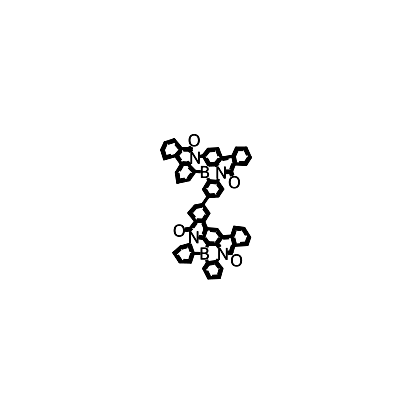 O=c1c2ccccc2c2cccc3c2n1-c1ccc2c4ccccc4c(=O)n4c2c1B3c1cc(-c2ccc3c(=O)n5c6c7c8c(cc6c3c2)c2ccccc2c(=O)n8-c2ccccc2B7c2ccccc2-5)ccc1-4